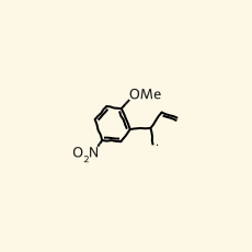 [CH2]C(C=C)c1cc([N+](=O)[O-])ccc1OC